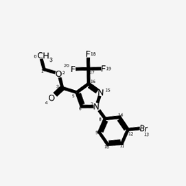 CCOC(=O)c1cn(-c2cccc(Br)c2)nc1C(F)(F)F